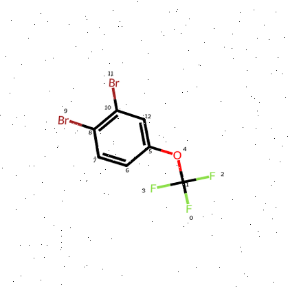 FC(F)(F)Oc1c[c]c(Br)c(Br)c1